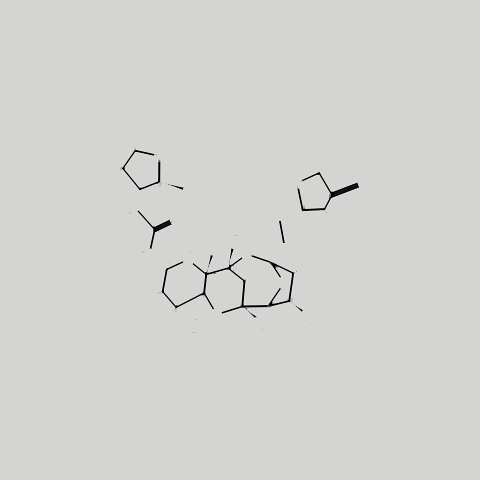 C=C1CO[C@@H](CC[C@]23C[C@@H](O)C(O2)[C@H]2C[C@@H](O3)[C@H]3O[C@@H](CC(=O)C[C@@H]4CCO[C@H]4C)CC[C@@H]3O2)C1